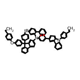 C=Cc1ccc(Oc2ccc(C3(c4ccc(C(C)(C)C)cc4)c4ccccc4-c4ccc(N(c5ccc(-c6ccc7c(c6)c6ccccc6n7-c6ccc(C=C)cc6)cc5)c5ccccc5-c5ccccc5)cc43)cc2)cc1